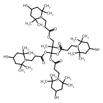 CC1(C)CC(S)CC(C)(C)N1CCC(=O)OCC(C)(C)C(OC(=O)CCN1C(C)(C)CC(S)CC1(C)C)(OC(=O)CCN1C(C)(C)CC(S)CC1(C)C)OC(=O)CCN1C(C)(C)CC(S)CC1(C)C